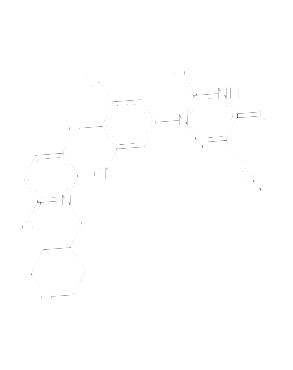 N#Cc1nn(-c2cc(Cl)c(Oc3ccc(=O)n(CC4CCOCC4)c3)c(Cl)c2)c(=O)[nH]c1=O